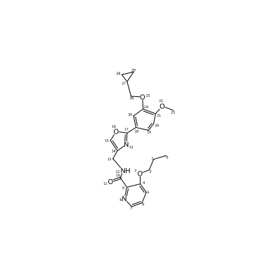 CCCOc1cccnc1C(=O)NCc1coc(-c2ccc(OC)c(OCC3CC3)c2)n1